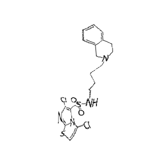 O=S(=O)(NCCCCN1CCc2ccccc2C1)c1c(Cl)nc2scc(Cl)n12